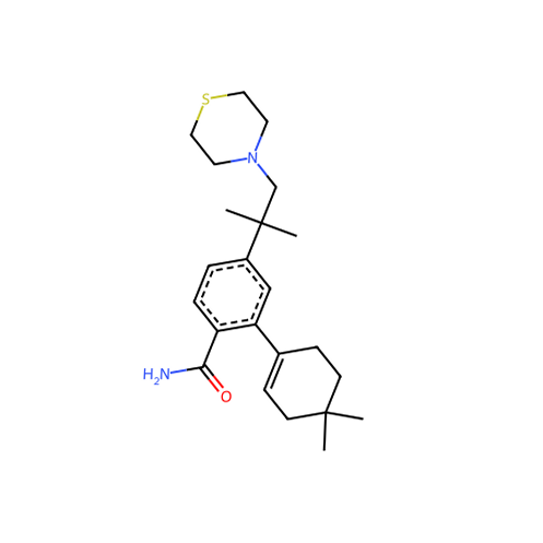 CC1(C)CC=C(c2cc(C(C)(C)CN3CCSCC3)ccc2C(N)=O)CC1